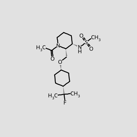 CC(=O)N1CCC[C@H](NS(C)(=O)=O)[C@@H]1CO[C@H]1CC[C@@H](C(C)(C)F)CC1